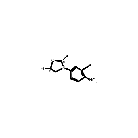 CC[C@@H]1CN(c2ccc([N+](=O)[O-])c(C)c2)[C@H](C)O1